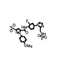 COc1ccc(-n2nc(S(C)(=O)=O)cc2C(=O)Nc2ccc(-n3ccnc3CNS(C)(=O)=O)cc2F)cc1